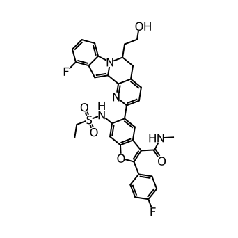 CCS(=O)(=O)Nc1cc2oc(-c3ccc(F)cc3)c(C(=O)NC)c2cc1-c1ccc2c(n1)-c1cc3c(F)cccc3n1C(CCO)C2